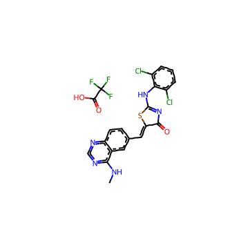 CNc1ncnc2ccc(/C=C3\SC(Nc4c(Cl)cccc4Cl)=NC3=O)cc12.O=C(O)C(F)(F)F